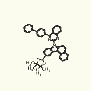 CC1(C)OB(c2ccc3c(c2)c2c4ccccc4ccc2n3-c2nc(-c3ccc(-c4ccccc4)cc3)c3ccccc3n2)OC1(C)C